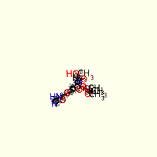 C[C@@H](O)[C@H]1C(=O)N2C(C(=O)OCOC(=O)C(C)(C)C)=C(c3ccc(COCCC(=O)Nc4ccncc4)cc3)C[C@H]12